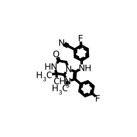 CN1C(c2ccc(F)cc2)=C(Nc2ccc(F)c(C#N)c2)N2CC(=O)NC(C)(C)C12